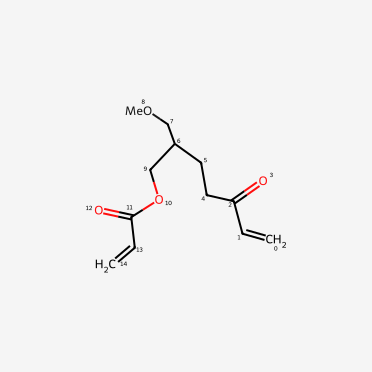 C=CC(=O)CCC(COC)COC(=O)C=C